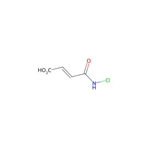 O=C(O)C=CC(=O)NCl